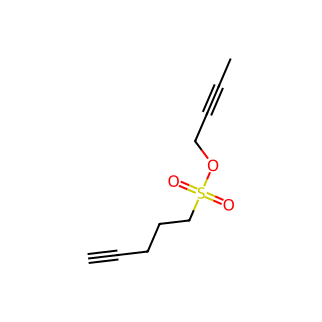 C#CCCCS(=O)(=O)OCC#CC